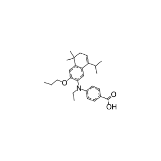 CCCOc1cc2c(cc1N(CC)c1ccc(C(=O)O)cc1)C(C(C)C)=CCC2(C)C